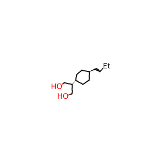 CC/C=C/[C@H]1CC[C@H](C(CO)CO)CC1